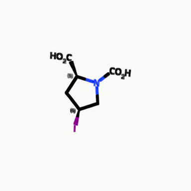 O=C(O)[C@@H]1C[C@H](I)CN1C(=O)O